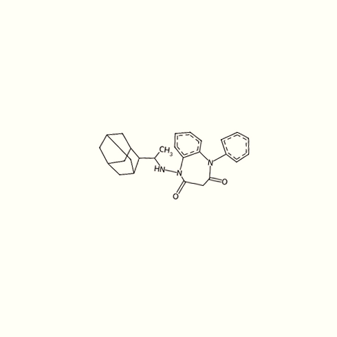 CC(NN1C(=O)CC(=O)N(c2ccccc2)c2ccccc21)C1C2CC3CC(C2)CC1C3